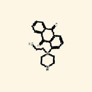 O=C1c2ccccc2C(=O)c2c1cccc2[N+]1(CCO)CCNCC1